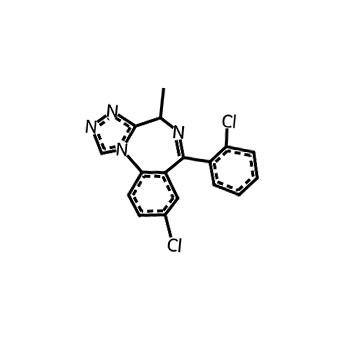 CC1N=C(c2ccccc2Cl)c2cc(Cl)ccc2-n2cnnc21